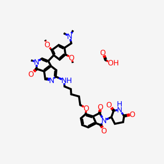 COc1cc(-c2cn(C)c(=O)c3cnc(NCCCCCOc4cccc5c4C(=O)N(C4CCC(=O)NC4=O)C5=O)cc23)c(OC)cc1CN(C)C.O=CO